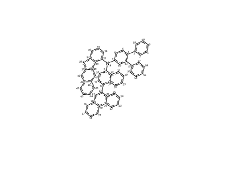 c1ccc(-c2ccc(N(c3ccc(-c4cc5ccccc5c5ccccc45)c4ccccc34)c3cccc4sc5cc6ccccc6cc5c34)cc2-c2ccccc2)cc1